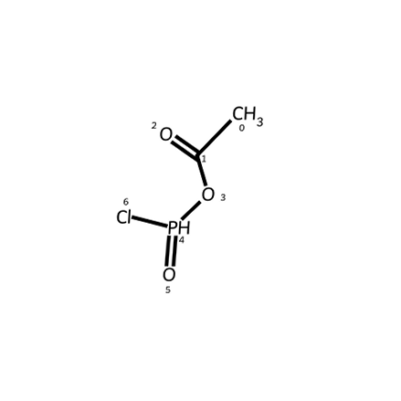 CC(=O)O[PH](=O)Cl